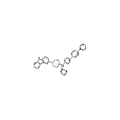 c1ccc(-c2ccc(-c3ccc(N(c4ccccc4)C4CCC(c5ccc6sc7ccccc7c6c5)CC4)cc3)cc2)cc1